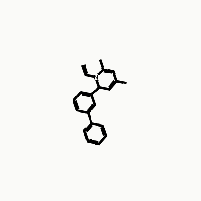 C=CN1C(C)=CC(C)=CC1c1cccc(-c2ccccc2)c1